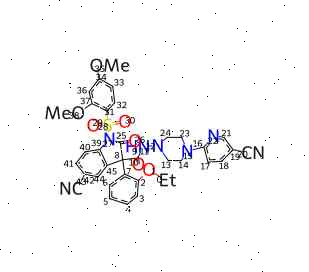 CCOc1ccccc1C1(C(=O)NN2CCN(c3ccc(C#N)cn3)CC2)C(=O)N(S(=O)(=O)c2ccc(OC)cc2OC)c2ccc(C#N)cc21